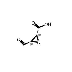 O=[C][C@@H]1O[C@H]1C(=O)O